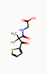 CC(S)(C(=O)NCC(=O)O)C(=O)c1cccs1